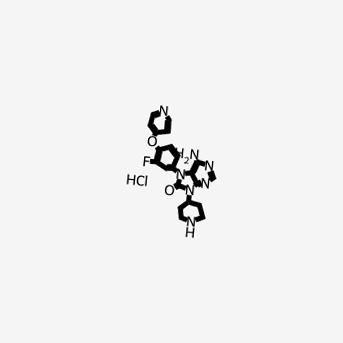 Cl.Nc1ncnc2c1n(-c1ccc(Oc3ccncc3)c(F)c1)c(=O)n2C1CCNCC1